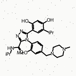 COc1cc(CN2CCN(C)CC2)ccc1-n1c(C(=O)NC(C)C)nnc1-c1cc(C(C)C)c(O)cc1O